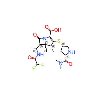 C[C@@H](NC(=O)C(F)F)[C@H]1C(=O)N2C(C(=O)O)=C(S[C@@H]3CN[C@H](C(=O)N(C)C)C3)[C@H](C)[C@H]12